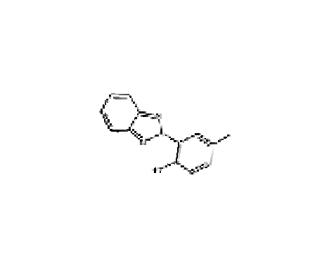 Cc1ccc(O)c(C2N=c3ccccc3=N2)c1